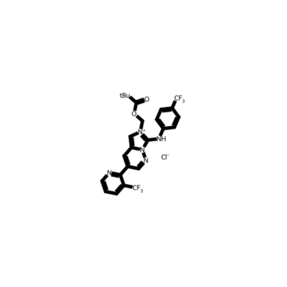 CC(C)(C)C(=O)OC[n+]1cc2cc(-c3ncccc3C(F)(F)F)cnn2c1Nc1ccc(C(F)(F)F)cc1.[Cl-]